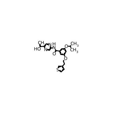 C=C(O)c1cnc(NC(=O)c2cc(OCCc3ccsc3)cc(OC(C)C)c2)cn1